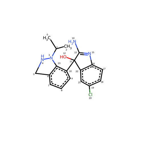 CC(C)N1NCc2cccc(C3(O)C(N)=Nc4ccc(Cl)cc43)c21